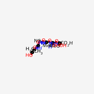 COc1c(NC(=O)c2ccc(NC(=O)c3ccc(NC(=O)[C@H](CC#N)NC(=O)c4ccc(NC(=O)/C(C)=C(\C)c5ccc(O)cc5)cc4)cc3)c(OC)c2O)ccc(C(=O)O)c1O